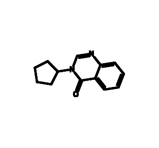 O=c1c2ccccc2ncn1C1CCCC1